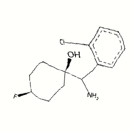 NC(c1ccccc1Cl)[C@]1(O)CC[C@@H](F)CC1